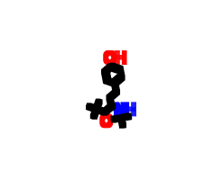 CC(C)(C)NC(CCc1ccc(O)cc1)C(=O)C(C)(C)C